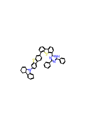 C1=CC2C(CC1)c1ccccc1N2c1ccc2c(c1)sc1cc(-c3cccc4c3sc3c(C5N=C(c6ccccc6)N=C(c6ccccc6)N5)cccc34)ccc12